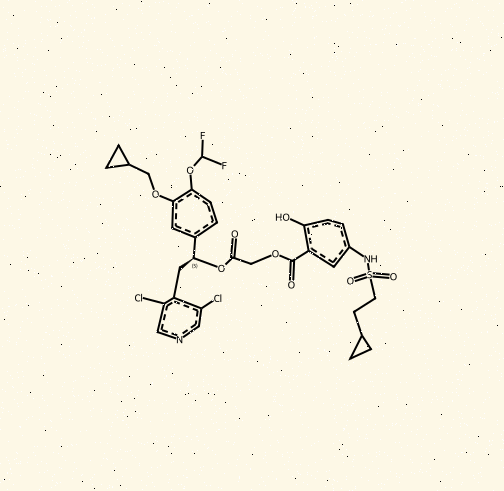 O=C(COC(=O)c1cc(NS(=O)(=O)CCC2CC2)ccc1O)O[C@@H](Cc1c(Cl)cncc1Cl)c1ccc(OC(F)F)c(OCC2CC2)c1